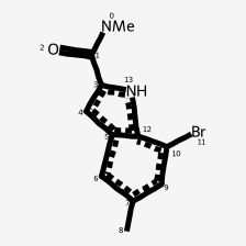 CNC(=O)c1cc2cc(C)cc(Br)c2[nH]1